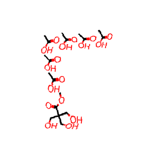 CC(=O)O.CC(=O)O.CC(=O)O.CC(=O)O.CC(=O)O.CC(=O)O.COC(=O)C(CO)(CO)CO